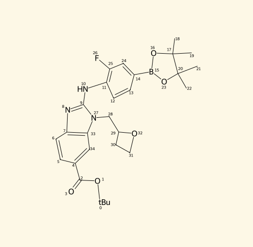 CC(C)(C)OC(=O)c1ccc2nc(Nc3ccc(B4OC(C)(C)C(C)(C)O4)cc3F)n(CC3CCO3)c2c1